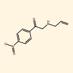 C=CCNCC(=O)c1ccc([N+](=O)[O-])cc1